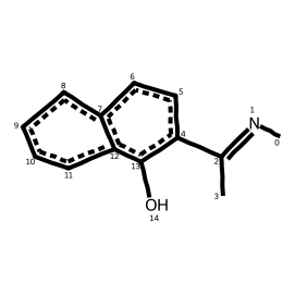 CN=C(C)c1ccc2ccccc2c1O